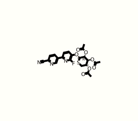 CC(=O)O[C@@H]1[C@@H](OC(C)=O)[C@H](OC(C)=O)CS[C@H]1Oc1ccc(-c2ccc(C#N)nc2)nc1F